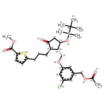 COC(=O)c1ccc(CCC[C@H]2C(=O)CC(O[Si](C)(C)C(C)(C)C)[C@@H]2COc2cc(Cl)cc(COC(C)=O)c2)s1